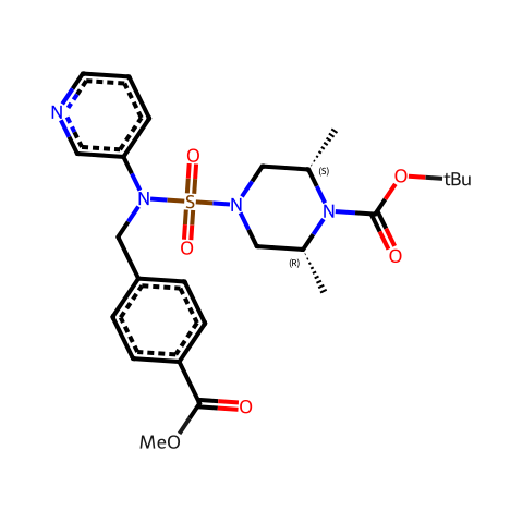 COC(=O)c1ccc(CN(c2cccnc2)S(=O)(=O)N2C[C@@H](C)N(C(=O)OC(C)(C)C)[C@@H](C)C2)cc1